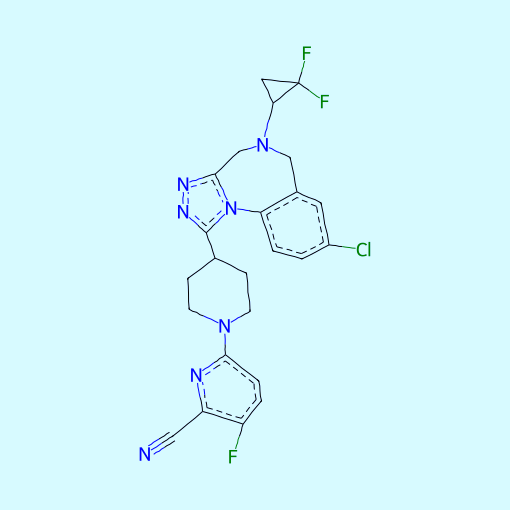 N#Cc1nc(N2CCC(c3nnc4n3-c3ccc(Cl)cc3CN(C3CC3(F)F)C4)CC2)ccc1F